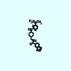 CN(C)c1ccnc(NC2CCC(CNC(=O)c3ccc4nonc4c3)CC2)n1